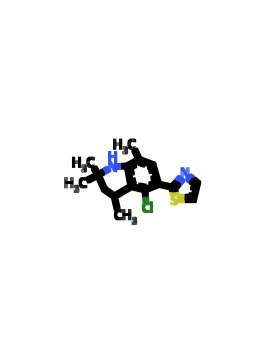 Cc1cc(-c2nccs2)c(Cl)c2c1NC(C)(C)CC2C